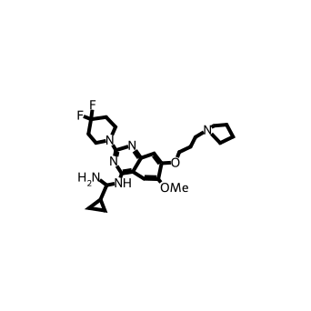 COc1cc2c(NC(N)C3CC3)nc(N3CCC(F)(F)CC3)nc2cc1OCCCN1CCCC1